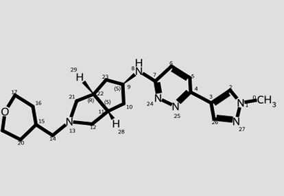 Cn1cc(-c2ccc(N[C@H]3C[C@@H]4CN(CC5CCOCC5)C[C@@H]4C3)nn2)cn1